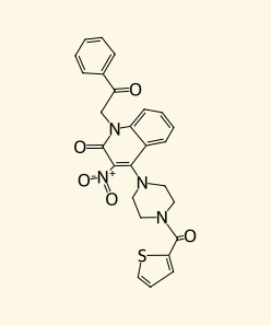 O=C(Cn1c(=O)c([N+](=O)[O-])c(N2CCN(C(=O)c3cccs3)CC2)c2ccccc21)c1ccccc1